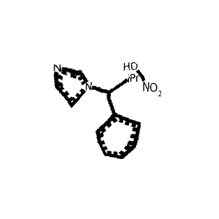 CC(C)C(c1ccccc1)n1ccnc1.O=[N+]([O-])O